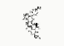 CC(=O)N1CC=C(c2cc3c(NC(C)c4cccc(C(F)(F)F)c4)nc(C)nc3n3cnnc23)CC1